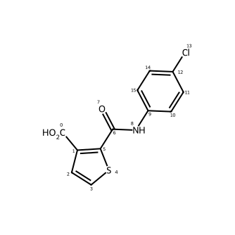 O=C(O)c1ccsc1C(=O)Nc1ccc(Cl)cc1